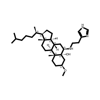 CO[C@H]1CC[C@]2(C)[C@H]3CC[C@]4(C)[C@@H]([C@H](C)CCCC(C)C)CC[C@H]4[C@@H]3C[C@@H](NCCc3c[nH]cn3)[C@@]2(O)C1